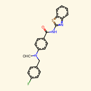 O=CN(Cc1ccc(F)cc1)c1ccc(C(=O)Nc2nc3ccccc3s2)cc1